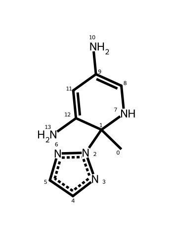 CC1(n2nccn2)NC=C(N)C=C1N